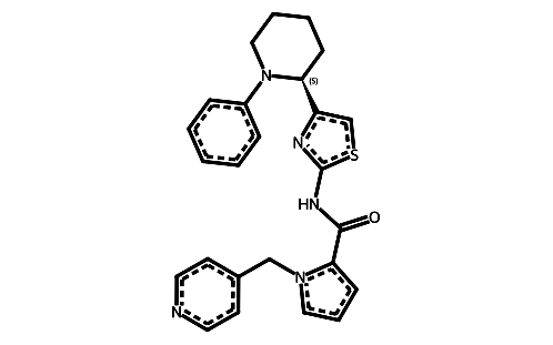 O=C(Nc1nc([C@@H]2CCCCN2c2ccccc2)cs1)c1cccn1Cc1ccncc1